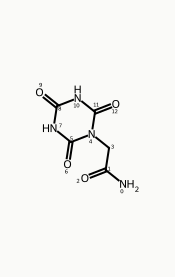 NC(=O)Cn1c(=O)[nH]c(=O)[nH]c1=O